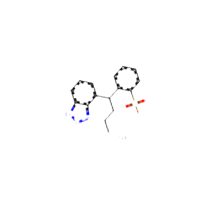 CCCC(c1ccccc1S(=O)(=O)[O-])c1cccc2[nH]nnc12.[Na+]